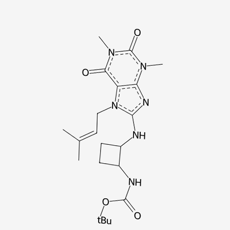 CC(C)=CCn1c(NC2CCC2NC(=O)OC(C)(C)C)nc2c1c(=O)n(C)c(=O)n2C